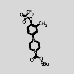 Cc1cc(N2CCN(C(=O)OC(C)(C)C)CC2)ccc1OS(=O)(=O)C(F)(F)F